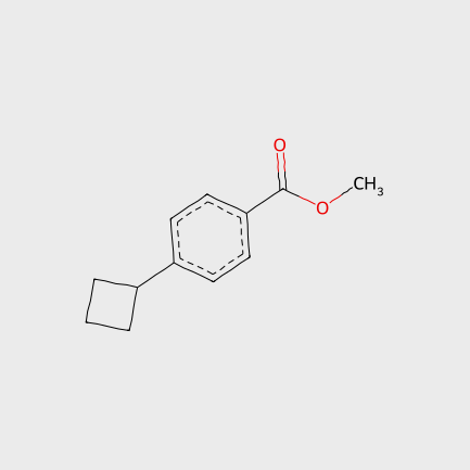 COC(=O)c1ccc(C2CCC2)cc1